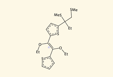 CCO/C(=C(/OCC)c1ccc(C(CC)(CSC)SC)s1)c1cccs1